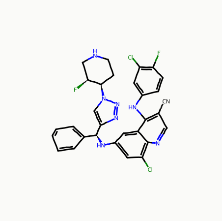 N#Cc1cnc2c(Cl)cc(N[C@@H](c3ccccc3)c3cn([C@@H]4CCNC[C@@H]4F)nn3)cc2c1Nc1ccc(F)c(Cl)c1